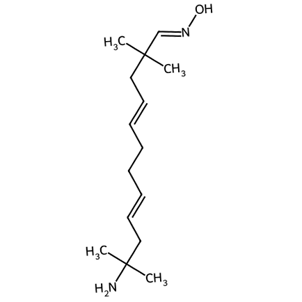 CC(C)(N)CC=CCCC=CCC(C)(C)C=NO